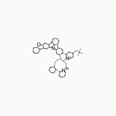 C=C1CC2C(CCc3ccccc3-c3cccc[n+]31)c1cc3c(cc1-c1cc(CC(C)(C)C)cc[n+]12)c1cccc2c4cc5oc6ccccc6c5cc4n3c12